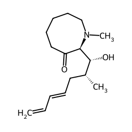 C=C/C=C/C[C@@H](C)[C@@H](O)[C@H]1C(=O)CCCCCN1C